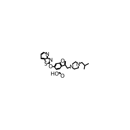 CC(C)CN1CCN(Cc2coc3cc(Oc4nc5ncccc5s4)ccc23)CC1.O=CO